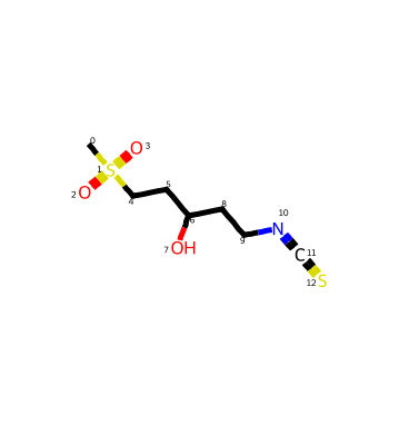 CS(=O)(=O)CCC(O)CCN=C=S